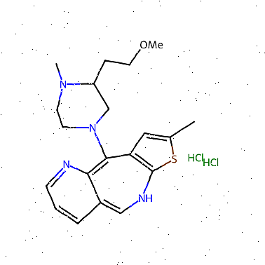 COCCC1CN(C2=c3ncccc3=CNc3sc(C)cc32)CCN1C.Cl.Cl